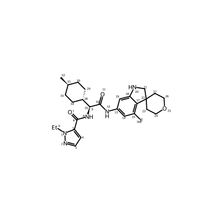 CCn1nccc1C(=O)N[C@H](C(=O)Nc1cc(F)c2c(c1)NCC21CCOCC1)[C@H]1CC[C@H](C)CC1